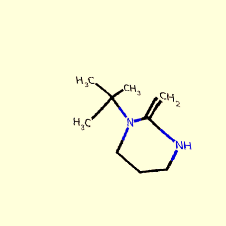 C=C1NCCCN1C(C)(C)C